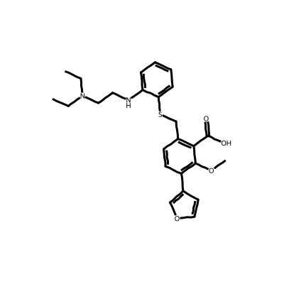 CCN(CC)CCNc1ccccc1SCc1ccc(-c2ccoc2)c(OC)c1C(=O)O